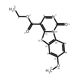 CCOC(=O)c1cnc(=O)n2c1sc1cc(OC)ccc12